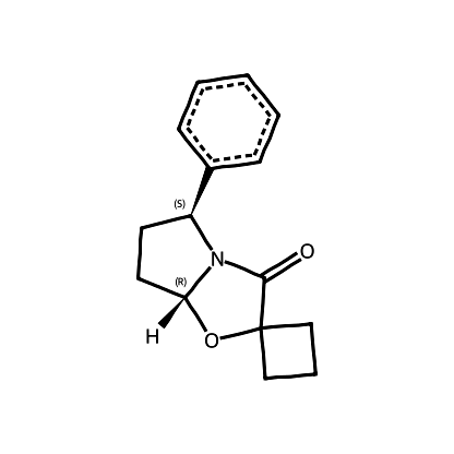 O=C1N2[C@@H](CC[C@H]2c2ccccc2)OC12CCC2